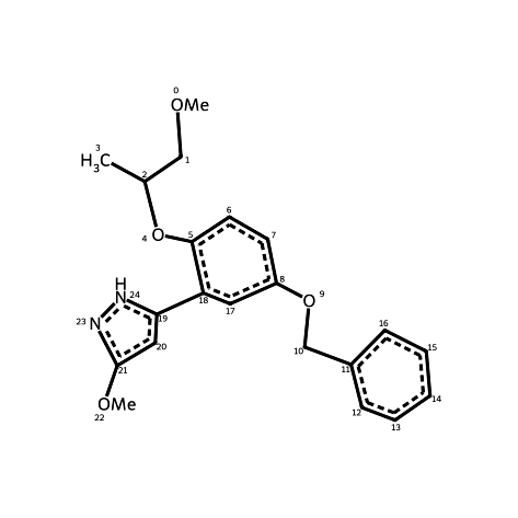 COCC(C)Oc1ccc(OCc2ccccc2)cc1-c1cc(OC)n[nH]1